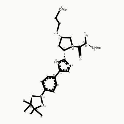 COCCO[C@H]1C[C@@H](c2ncc(-c3ccc(B4OC(C)(C)C(C)(C)O4)cc3)[nH]2)N(C(=O)[C@@H](NC(C)=O)C(C)C)C1